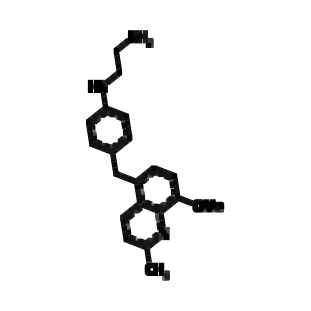 COc1ccc(Cc2ccc(NCCN)cc2)c2ccc(C)nc12